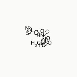 CC1CN(C(=O)C(NC(=O)c2ccc(C3=CSC4=NCCN34)cc2)C2CCCC2)[C@@H]2C(=O)CO[C@H]12